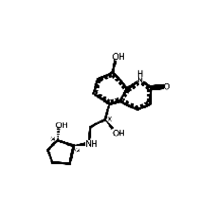 O=c1ccc2c([C@@H](O)CN[C@H]3CCC[C@@H]3O)ccc(O)c2[nH]1